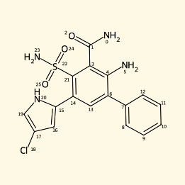 NC(=O)c1c(N)c(-c2ccccc2)cc(-c2cc(Cl)c[nH]2)c1S(N)(=O)=O